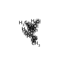 Cc1ccc2c(Nc3cc(CN(Cc4ccc(Sc5ccccc5)c(Nc5ccnc6nc(C)ccc56)c4)C(=O)OC(C)(C)C)ccc3Sc3ccccc3)ccnc2n1